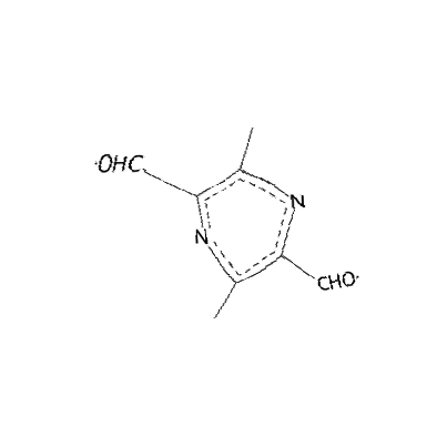 Cc1nc([C]=O)c(C)nc1[C]=O